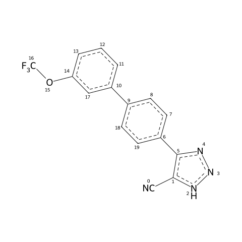 N#Cc1[nH]nnc1-c1ccc(-c2cccc(OC(F)(F)F)c2)cc1